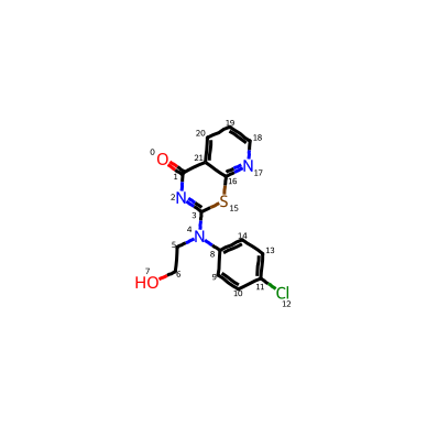 O=c1nc(N(CCO)c2ccc(Cl)cc2)sc2ncccc12